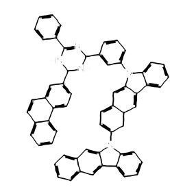 C1=C2C=c3c(c4ccccc4n3-c3cccc(C4N=C(c5ccccc5)NC(c5ccc6c(ccc7ccccc76)c5)N4)c3)=CC2CC(n2c3ccccc3c3cc4ccccc4cc32)=C1